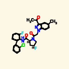 CC(=O)c1nn(CC(=O)N2C[C@H](F)C[C@H]2C(=O)Nc2c(F)cccc2-c2ccccc2Cl)c2ccc(C)cc12